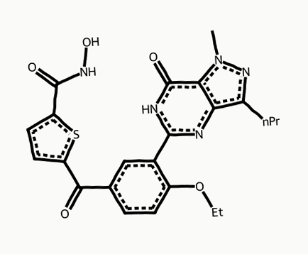 CCCc1nn(C)c2c(=O)[nH]c(-c3cc(C(=O)c4ccc(C(=O)NO)s4)ccc3OCC)nc12